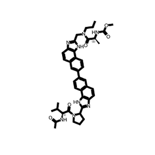 CCCN(Cc1nc2ccc3cc(-c4ccc5c(ccc6nc(C7CCCN7C(=O)[C@@H](NC(C)=O)C(C)C)[nH]c65)c4)ccc3c2[nH]1)C(=O)[C@H](C)NC(=O)OC